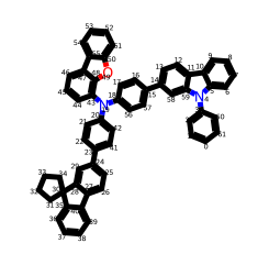 c1ccc(-n2c3ccccc3c3ccc(-c4ccc(N(c5ccc(-c6ccc7c(c6)C6(CCCC6)c6ccccc6-7)cc5)c5cccc6c5oc5ccccc56)cc4)cc32)cc1